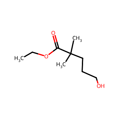 CCOC(=O)C(C)(C)CCCO